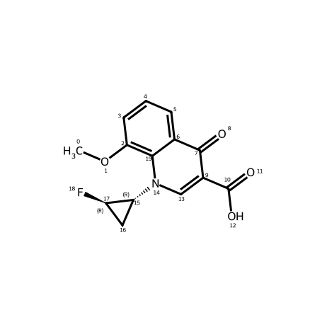 COc1cccc2c(=O)c(C(=O)O)cn([C@@H]3C[C@H]3F)c12